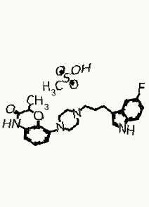 CC1Oc2c(cccc2N2CCN(CCCc3c[nH]c4ccc(F)cc34)CC2)NC1=O.CS(=O)(=O)O